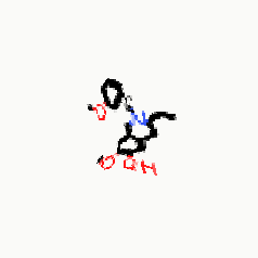 CCC1CC2CC(O)=C(OC)C=C2CN1Cc1cccc(OC)c1